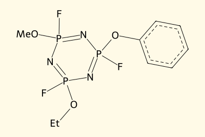 CCOP1(F)=NP(F)(OC)=NP(F)(Oc2ccccc2)=N1